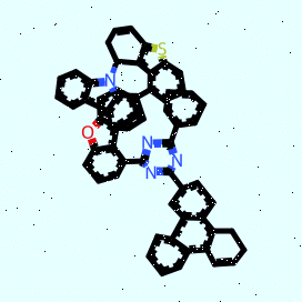 C1=Cc2c(c3ccc(-c4nc(-c5ccccc5)nc(-c5cccc6oc7ccc(-c8cccc9sc%10c(c89)C(n8c9ccccc9c9ccccc98)CC=C%10)cc7c56)n4)cc3c3ccccc23)CC1